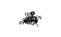 Cc1c(-n2nccn2)sc2c1c(=O)n(C(C)(C)C(=O)NC(C)C)c(=O)n2C[C@H](OCCC#N)c1ccccc1O